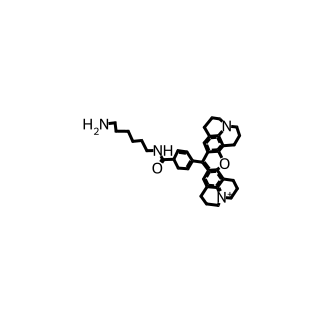 NCCCCCCNC(=O)C1C=CC(C2=c3cc4c5c(c3Oc3c2cc2c6c3CCCN6CCC2)CCC[N+]=5CCC4)=CC1